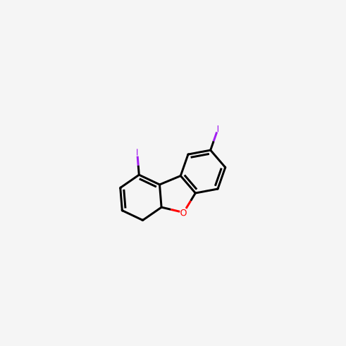 IC1=C2c3cc(I)ccc3OC2CC=C1